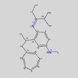 CC/C(=N/c1ccc(NC)cc1C(C)CC1=CC=C=CC=C1)C(C)C